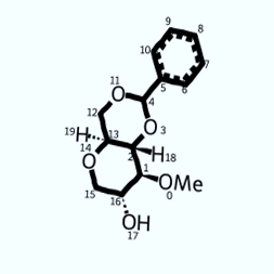 CO[C@@H]1[C@H]2OC(c3ccccc3)OC[C@@H]2OC[C@H]1O